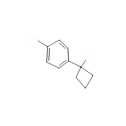 Oc1ccc(C2(Br)CCC2)cc1